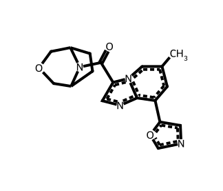 Cc1cc(-c2cnco2)c2ncc(C(=O)N3C4CCC3COC4)n2c1